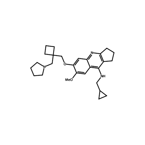 COc1cc2c(NCC3CC3)c3c(nc2cc1OCC1(CN2CCCC2)CCC1)CCC3